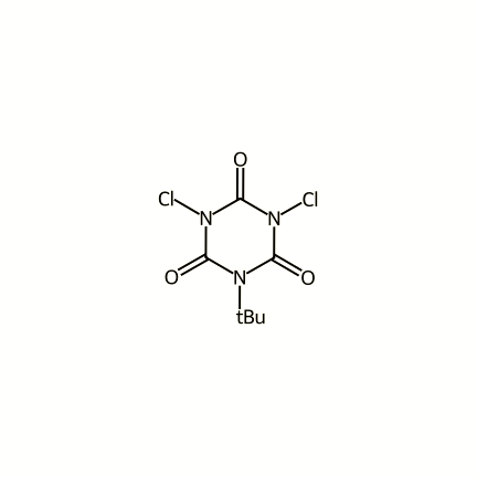 CC(C)(C)n1c(=O)n(Cl)c(=O)n(Cl)c1=O